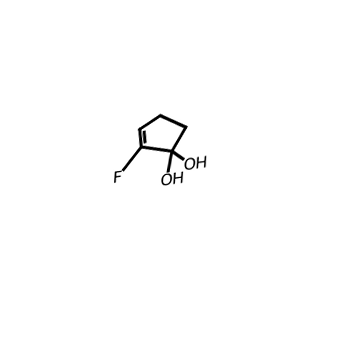 OC1(O)CCC=C1F